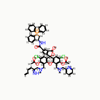 C=C/C=C\C(=N)CN(C)Cc1c(OC(C)=O)c(Cl)cc2c1Oc1c(cc(Cl)c(OC(C)=O)c1CN(C)Cc1ccccn1)C21OC(=O)c2cc(C(=O)NCC[PH](c3ccccc3)(c3ccccc3)c3ccccc3)ccc21